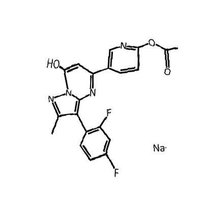 CC(=O)Oc1ccc(-c2cc(O)n3nc(C)c(-c4ccc(F)cc4F)c3n2)cn1.[Na]